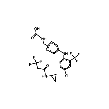 O=C(CC(F)(F)F)NC1CC1.O=C(O)NCc1ccc(Nc2ccc(Cl)cc2C(F)(F)F)cn1